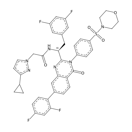 O=C(Cn1ccc(C2CC2)n1)N[C@@H](Cc1cc(F)cc(F)c1)c1nc2cc(-c3ccc(F)cc3F)ccc2c(=O)n1-c1ccc(S(=O)(=O)N2CCOCC2)cc1